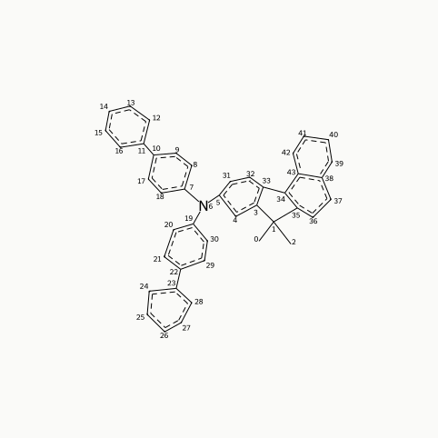 CC1(C)c2cc(N(c3ccc(-c4ccccc4)cc3)c3ccc(-c4ccccc4)cc3)ccc2-c2c1ccc1ccccc21